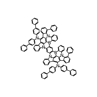 c1ccc(-c2ccc(N(c3ccc(-c4ccccc4)cc3)c3c4c5ccccc5n5c4c4c6c3c3cccc(-c7ccccc7)c3n6-c3ccccc3B4c3cc4c(cc3-5)-n3c5ccccc5c5c(N(c6ccc(-c7ccccc7)cc6)c6ccc(-c7ccccc7)cc6)c6c7cccc(-c8ccccc8)c7n7c6c(c53)B4c3ccccc3-7)cc2)cc1